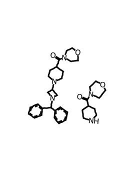 O=C(C1CCN(C2CN(C(c3ccccc3)c3ccccc3)C2)CC1)N1CCOCC1.O=C(C1CCNCC1)N1CCOCC1